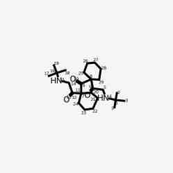 CC(C)(C)NCC(=O)C1(C(=O)C2(C(=O)CNC(C)(C)C)CCCCC2)CCCCC1